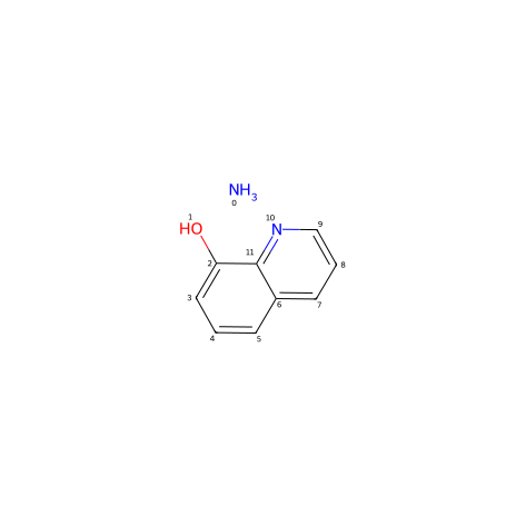 N.Oc1cccc2cccnc12